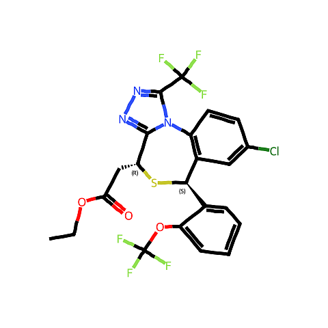 CCOC(=O)C[C@H]1S[C@H](c2ccccc2OC(F)(F)F)c2cc(Cl)ccc2-n2c1nnc2C(F)(F)F